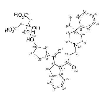 O=C(O)CC(O)(CC(=O)O)C(=O)O.O=C([C@@H]1Cc2ccccc2N1C(=O)CCN1CCC2(CCc3ccccc32)CC1)N1CCC(O)C1